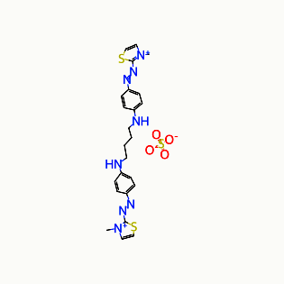 C[n+]1ccsc1N=Nc1ccc(NCCCCNc2ccc(N=Nc3scc[n+]3C)cc2)cc1.O=S(=O)([O-])[O-]